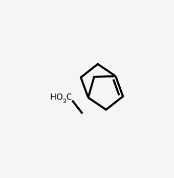 C1=C2CCC(C1)C2.CC(=O)O